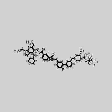 CCc1nc2c(cnn2CC)c(NC2CCOCC2)c1CNC(=O)c1cccc(C(=O)NCc2ccc(F)c(-c3cccc(CN4CCN(C(=O)OC(C)(C)C)[C@@H](C)C4)c3)c2)c1